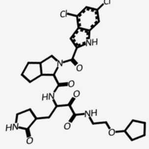 O=C(NCCOC1CCCC1)C(=O)C(CC1CCNC1=O)NC(=O)C1C2CCCC2CN1C(=O)c1cc2c(Cl)cc(Cl)cc2[nH]1